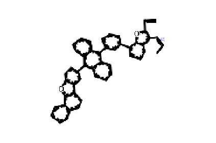 C=Cc1oc2c(-c3cccc(-c4c5ccccc5c(-c5ccc6oc7c8ccccc8ccc7c6c5)c5ccccc45)c3)cccc2c1/C=C\C